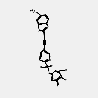 Cc1ccc2nc(C#Cc3ccc(C(F)(F)Oc4cc(F)c(F)c(F)c4)nc3)sc2c1